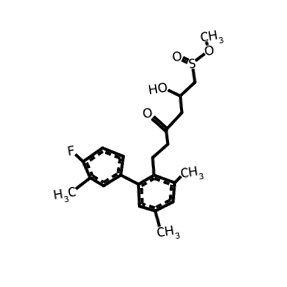 COS(=O)CC(O)CC(=O)CCc1c(C)cc(C)cc1-c1ccc(F)c(C)c1